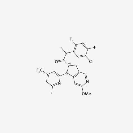 COc1cc2c(cn1)C[C@@H](C(=O)N(C)c1cc(Cl)c(F)cc1F)N2c1cc(C(F)(F)F)cc(C)n1